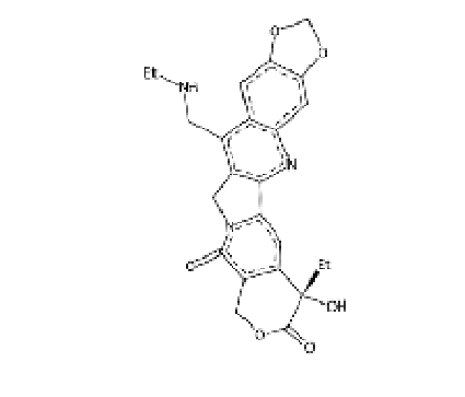 CCNCc1c2c(nc3cc4c(cc13)OCO4)-c1cc3c(c(=O)n1C2)COC(=O)[C@]3(O)CC